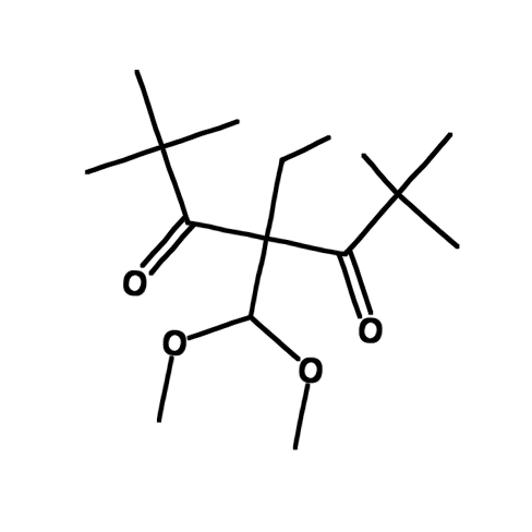 CCC(C(=O)C(C)(C)C)(C(=O)C(C)(C)C)C(OC)OC